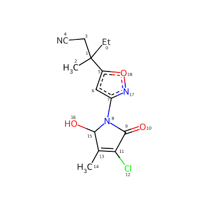 CCC(C)(CC#N)c1cc(N2C(=O)C(Cl)=C(C)C2O)no1